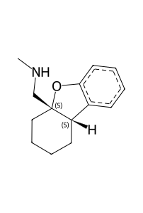 CNC[C@]12CCCC[C@H]1c1ccccc1O2